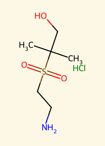 CC(C)(CO)S(=O)(=O)CCN.Cl